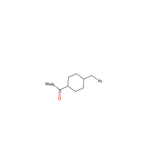 CNC(=O)C1CCC(CC(C)=O)CC1